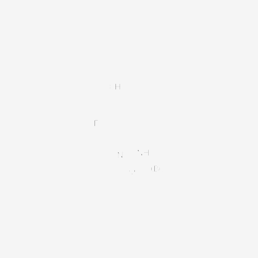 Cc1ccc(-c2ccnc(NC(=O)C(C)(C)C)c2)c(F)c1